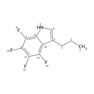 CCCc1c[nH]c2c(F)c(F)c(F)c(F)c12